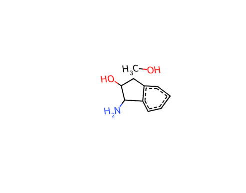 CO.NC1c2ccccc2CC1O